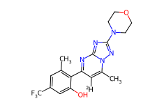 [2H]c1c(-c2c(C)cc(C(F)(F)F)cc2O)nc2nc(N3CCOCC3)nn2c1C